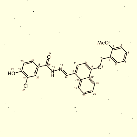 COc1ccccc1COc1ccc(/C=N/NC(=O)c2ccc(O)c(Cl)c2)c2ccccc12